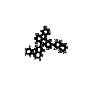 c1ccc2c(c1)-c1cccc3cc(N(c4ccc(-c5ccc6ccccc6c5)cc4)c4cccc5c4sc4ncccc45)cc-2c13